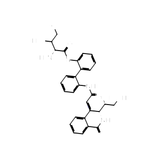 CCC(C)[C@H](N)C(=O)Nc1ccccc1-c1ccccc1NC(=O)/C=C1/c2ccccc2C(=O)N[C@H]1[C@@H](C)CC